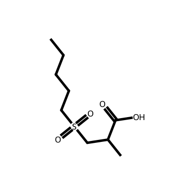 CCCCCS(=O)(=O)CC(C)C(=O)O